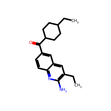 CCc1cc2cc(C(=O)C3CCC(CC)CC3)ccc2nc1N